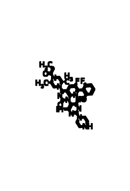 C=CC(=O)N1C[C@H](C)N(c2nc(=O)n(-c3c(C(C)C)nc(N4CCNCC4)nc3C(C)C)c3nc(-c4c(O)cccc4F)c(F)cc23)C[C@H]1C